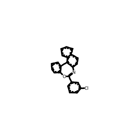 Clc1cccc(C2=Nc3ccc4ccccc4c3-c3ccccc3O2)c1